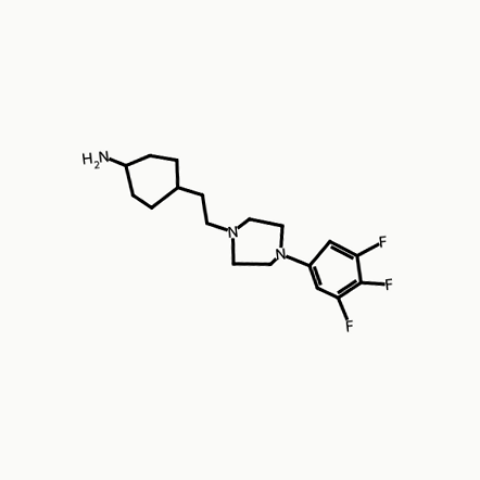 NC1CCC(CCN2CCN(c3cc(F)c(F)c(F)c3)CC2)CC1